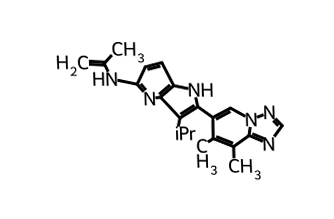 C=C(C)Nc1ccc2[nH]c(-c3cn4ncnc4c(C)c3C)c(C(C)C)c2n1